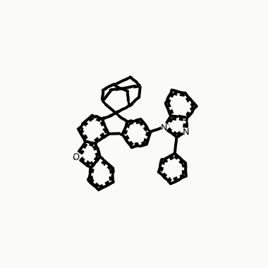 c1ccc(-c2nc3ccccc3n2-c2ccc3c(c2)C2(c4ccc5oc6ccccc6c5c4-3)C3CC4CC(C3)CC2C4)cc1